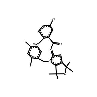 COc1ccc(Cl)cc1C(=O)/N=c1\sc2c(n1Cc1ccc(F)cc1F)C(C)(C)OC2(C)C